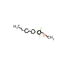 C=CCOCc1c(F)cc([C@H]2CC[C@H]([C@H]3CC[C@H](CCCC)CC3)CC2)cc1F